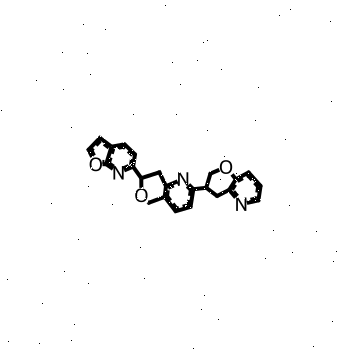 c1cnc2c(c1)OCC(c1ccc3c(n1)CC(c1ccc4ccoc4n1)OC3)C2